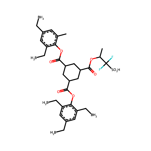 BCc1cc(C)c(OC(=O)C2CC(C(=O)Oc3c(CB)cc(CB)cc3CB)CC(C(=O)OC(C)C(F)(F)S(=O)(=O)O)C2)c(CB)c1